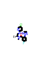 CC[C@@H](CNc1ccc(Cl)cn1)N(C)C(=O)c1cc(F)ccc1-n1nccn1